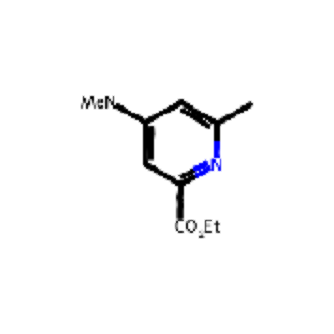 CCOC(=O)c1cc(NC)cc(C)n1